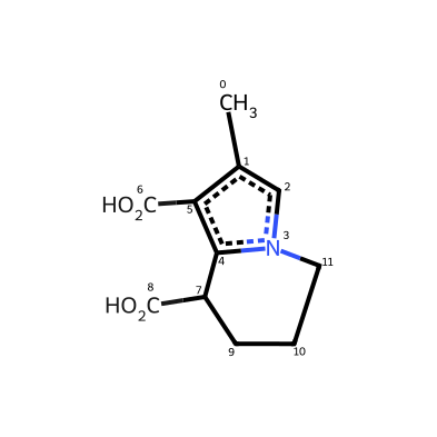 Cc1cn2c(c1C(=O)O)C(C(=O)O)CCC2